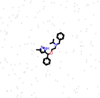 Cc1cc(C(OCCN(Cc2ccccc2)C(C)C)c2ccccc2)[nH]n1